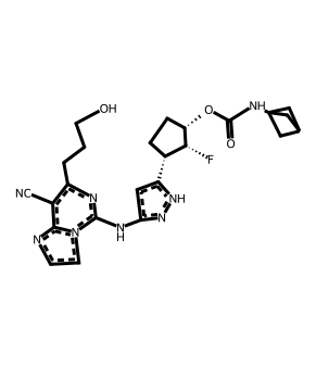 N#Cc1c(CCCO)nc(Nc2cc([C@@H]3CC[C@H](OC(=O)NC45CC(C4)C5)[C@@H]3F)[nH]n2)n2ccnc12